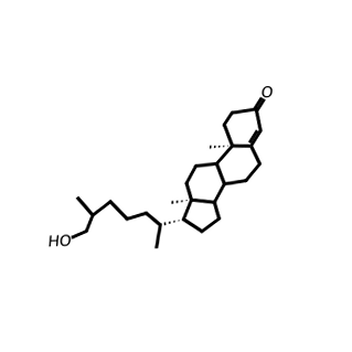 CC(CO)CCCC(C)[C@H]1CCC2C3CCC4=CC(=O)CC[C@]4(C)C3CC[C@@]21C